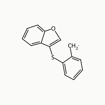 [CH2]c1ccccc1Sc1coc2ccccc12